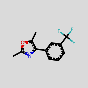 Cc1nc(-c2cccc(C(F)(F)F)c2)c(C)o1